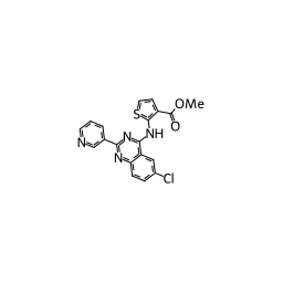 COC(=O)c1ccsc1Nc1nc(-c2cccnc2)nc2ccc(Cl)cc12